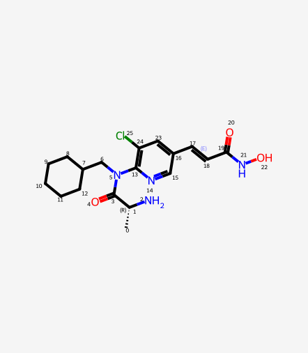 C[C@@H](N)C(=O)N(CC1CCCCC1)c1ncc(/C=C/C(=O)NO)cc1Cl